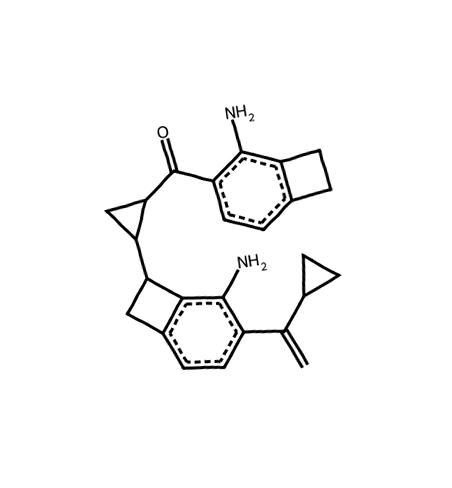 C=C(c1ccc2c(c1N)C(C1CC1C(=O)c1ccc3c(c1N)CC3)C2)C1CC1